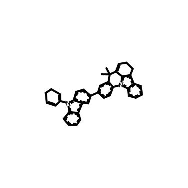 CC1(C)C2=CCCc3c2n(c2ccccc32)-c2ccc(-c3ccc4c(c3)c3ccccc3n4C3=CCCC=C3)cc21